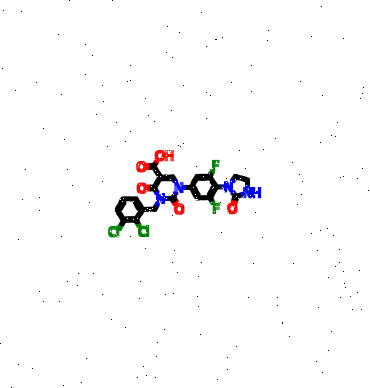 O=C(O)c1cn(-c2cc(F)c(N3CCNC3=O)c(F)c2)c(=O)n(Cc2cccc(Cl)c2Cl)c1=O